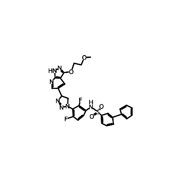 COCCOc1n[nH]c2ncc(C3CN(c4c(F)ccc(NS(=O)(=O)c5cccc(-c6ccccc6)c5)c4F)N=N3)cc12